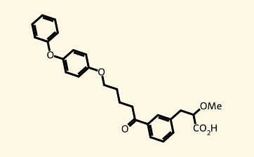 COC(Cc1cccc(C(=O)CCCCOc2ccc(Oc3ccccc3)cc2)c1)C(=O)O